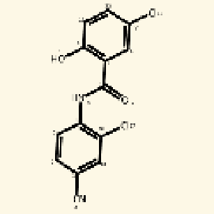 N#Cc1ccc(NC(=O)c2cc(Cl)ccc2O)c(Cl)c1